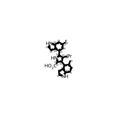 Cc1ccc2[nH]ccc2c1-c1c(C(=O)O)[nH]c(-c2cc(F)cc3[nH]ccc23)c1C(C)C